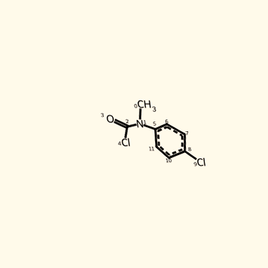 CN(C(=O)Cl)c1ccc(Cl)cc1